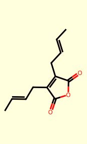 C/C=C/CC1=C(C/C=C/C)C(=O)OC1=O